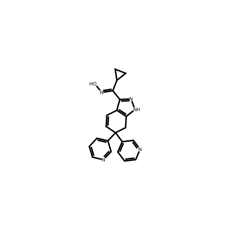 ON=C(c1n[nH]c2c1C=CC(c1cccnc1)(c1cccnc1)C2)C1CC1